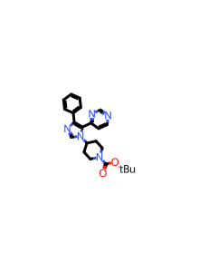 CC(C)(C)OC(=O)N1CCC(n2cnc(-c3ccccc3)c2-c2ccncn2)CC1